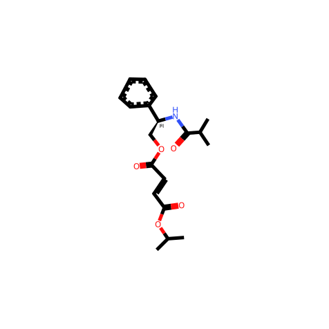 CC(C)OC(=O)C=CC(=O)OC[C@H](NC(=O)C(C)C)c1ccccc1